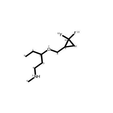 CCC(CCNC)OCC1CC1(F)F